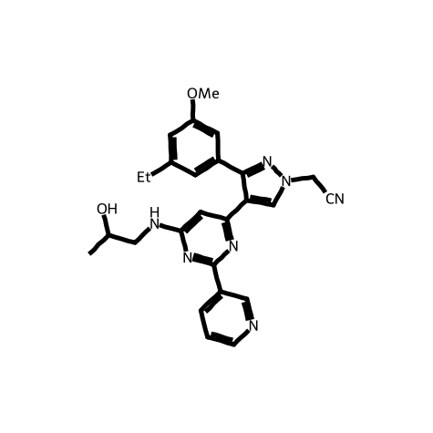 CCc1cc(OC)cc(-c2nn(CC#N)cc2-c2cc(NCC(C)O)nc(-c3cccnc3)n2)c1